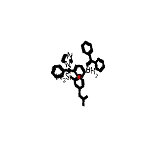 BC=C(c1ccccc1)c1ccccc1.CC(C)Cc1cccc([SiH2]C(c2ccccc2)(c2ccccc2)n2ccnc2)c1